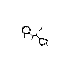 N#Cc1ccccc1C(I)=C(OCC(F)(F)F)c1ccc(C(F)(F)F)cc1